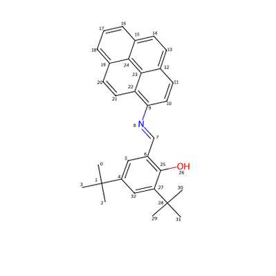 CC(C)(C)c1cc(/C=N/c2ccc3ccc4cccc5ccc2c3c45)c(O)c(C(C)(C)C)c1